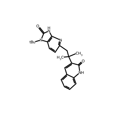 CC(C)(Cc1ccc2c(n1)[nH]c(=O)n2C(C)(C)C)c1cc2ccccc2[nH]c1=O